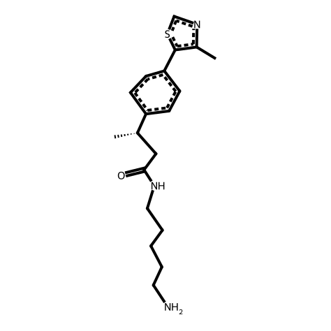 Cc1ncsc1-c1ccc([C@@H](C)CC(=O)NCCCCCN)cc1